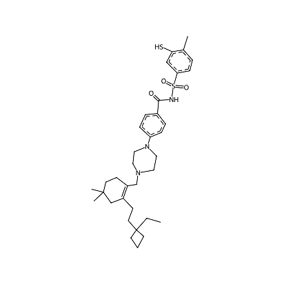 CCC1(CCC2=C(CN3CCN(c4ccc(C(=O)NS(=O)(=O)c5ccc(C)c(S)c5)cc4)CC3)CCC(C)(C)C2)CCC1